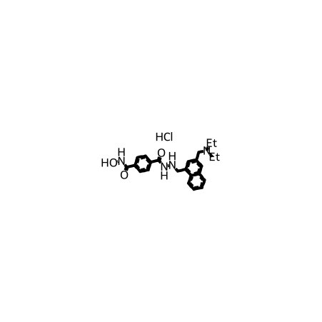 CCN(CC)Cc1cc(CNNC(=O)c2ccc(C(=O)NO)cc2)c2ccccc2c1.Cl